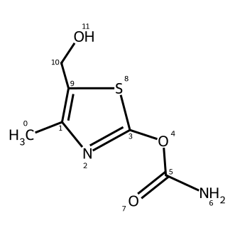 Cc1nc(OC(N)=O)sc1CO